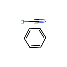 N#CCl.c1ccccc1